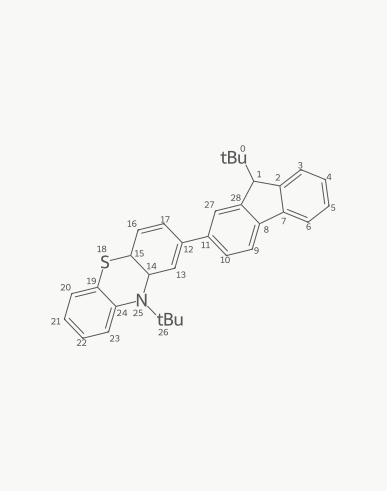 CC(C)(C)C1c2ccccc2-c2ccc(C3=CC4C(C=C3)Sc3ccccc3N4C(C)(C)C)cc21